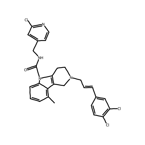 Cc1cccc2c1c1c(n2C(=O)NCc2ccnc(Cl)c2)CCN(CC=Cc2ccc(Cl)c(Cl)c2)C1